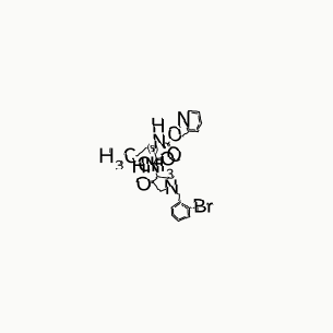 CC(C)C[C@H](NC(=O)OCc1ccccn1)C(=O)NC1CN(Cc2ccccc2Br)CC1=O